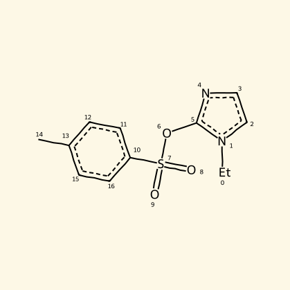 CCn1ccnc1OS(=O)(=O)c1ccc(C)cc1